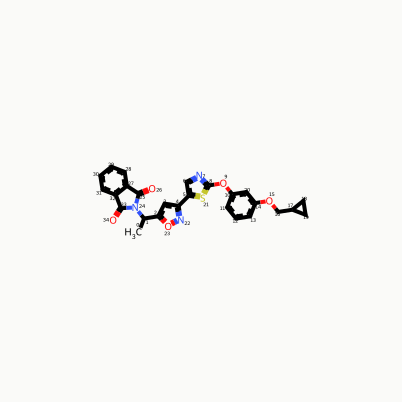 CC(c1cc(-c2cnc(Oc3cccc(OCC4CC4)c3)s2)no1)N1C(=O)c2ccccc2C1=O